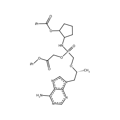 CC(C)OC(=O)COP(=O)(CO[C@H](C)Cn1cnc2c(N)ncnc21)NC1CCCC1OC(=O)C(C)C